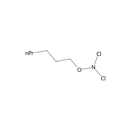 CCCCCCON(Cl)Cl